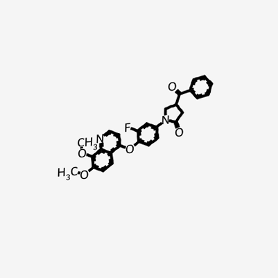 COc1ccc2c(Oc3ccc(N4CC(C(=O)c5ccccc5)CC4=O)cc3F)ccnc2c1OC